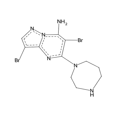 Nc1c(Br)c(N2CCCNCC2)nc2c(Br)cnn12